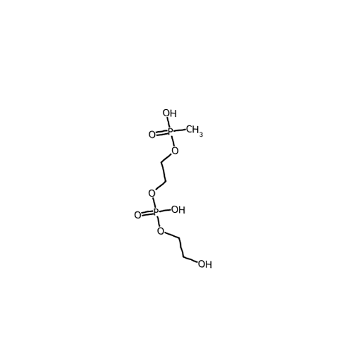 CP(=O)(O)OCCOP(=O)(O)OCCO